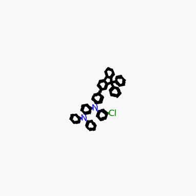 Clc1cccc(N(c2ccc(-c3ccc4c(c3)C(c3ccccc3)(c3ccccc3)c3ccccc3-4)cc2)c2cccc(N(c3ccccc3)c3ccccc3)c2)c1